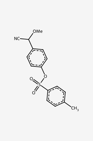 COC(C#N)c1ccc(OS(=O)(=O)c2ccc(C)cc2)cc1